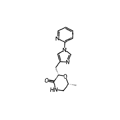 C[C@@H]1CNC(=O)[C@H](Cc2cn(-c3ccccn3)cn2)O1